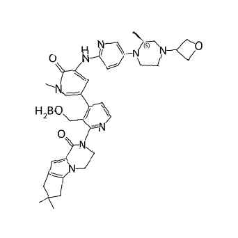 BOCc1c(-c2cc(Nc3ccc(N4CCN(C5COC5)C[C@@H]4C)cn3)c(=O)n(C)c2)ccnc1N1CCn2c(cc3c2CC(C)(C)C3)C1=O